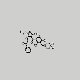 Cc1nn(C)c(OCC(=O)c2ccccc2)c1C(=O)c1ccc(Cl)c(CN2CCS(=O)(=O)CC2)c1Cl